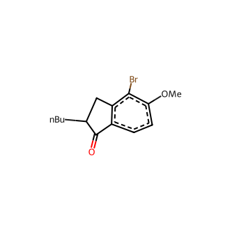 CCCCC1Cc2c(ccc(OC)c2Br)C1=O